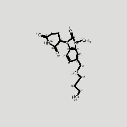 Cn1c(=O)n(C2CCC(=O)NC2=O)c2ccc(COCCCO)cc21